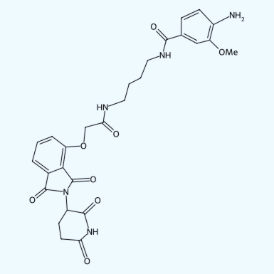 COc1cc(C(=O)NCCCCNC(=O)COc2cccc3c2C(=O)N(C2CCC(=O)NC2=O)C3=O)ccc1N